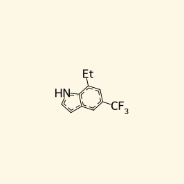 CCc1cc(C(F)(F)F)cc2cc[nH]c12